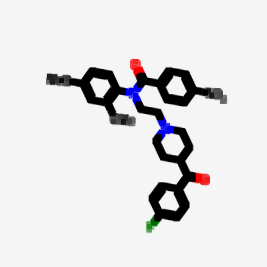 COc1ccc(N(CCN2CCC(C(=O)c3ccc(F)cc3)CC2)C(=O)c2ccc([N+](=O)[O-])cc2)c(OC)c1